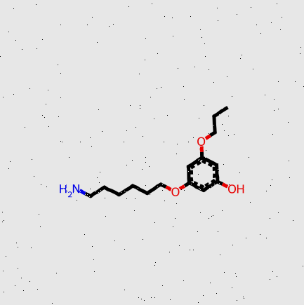 CCCOc1cc(O)cc(OCCCCCCN)c1